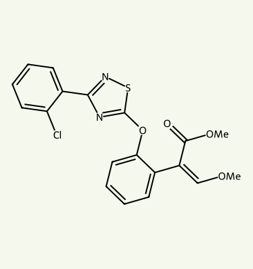 CO/C=C(\C(=O)OC)c1ccccc1Oc1nc(-c2ccccc2Cl)ns1